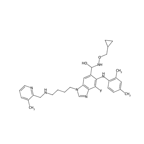 Cc1ccc(Nc2c(C(O)NOCC3CC3)cc3c(ncn3CCCCNCc3ncccc3C)c2F)c(C)c1